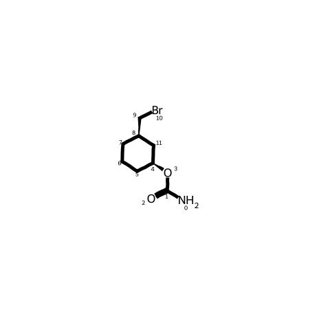 NC(=O)O[C@H]1CCC[C@@H](CBr)C1